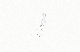 CCOCCn1cc(C(=O)Nc2ccc(N/C(=C\C(=N)c3cccnc3)C(F)(F)F)cn2)ccc1=O